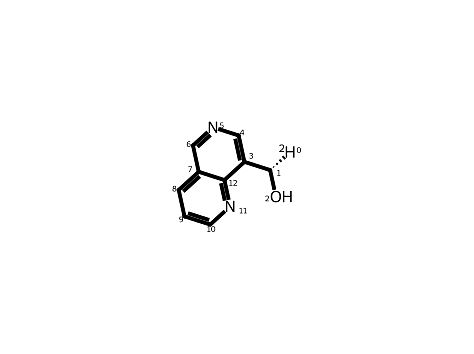 [2H][C@H](O)c1cncc2cccnc12